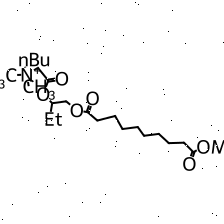 CCCC[N+](C)(C)CC(=O)OC(CC)COC(=O)CCCCCCCCC(=O)OC